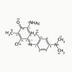 CC(=O)NC1=C/C(=N\c2ccc(N(C)C)cc2C)C(Cl)=C(C)C1=O